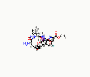 COC(=O)c1coc(-c2nc3oc2[C@@]24c5cc(F)ccc5N[C@@H]2Oc2ccc(cc24)C[C@H](N)C(=O)N[C@H]3C(C)(C)C)n1